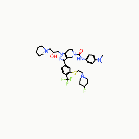 CN(C)c1ccc(NC(=O)N2CCc3c(c(-c4ccc(C(F)(F)F)c(SCCN5CCC(F)CC5)c4)nn3C[C@H](O)CN3CCCCC3)C2)cc1